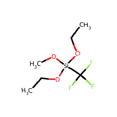 CCO[Si](OC)(OCC)C(F)(F)F